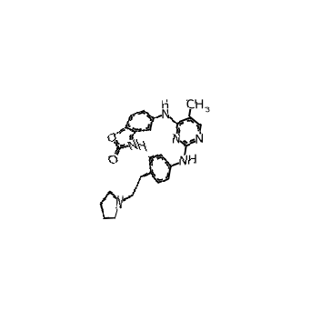 Cc1cnc(Nc2ccc(CCN3CCCC3)cc2)nc1Nc1ccc2oc(=O)[nH]c2c1